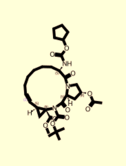 COC(=O)[C@@]12C[C@H]1/C=C\CCCCC[C@H](NC(=O)OC1CCCC1)C(=O)N1C[C@H](OC(C)=O)C[C@H]1C(=O)N2C(=O)OC(C)(C)C